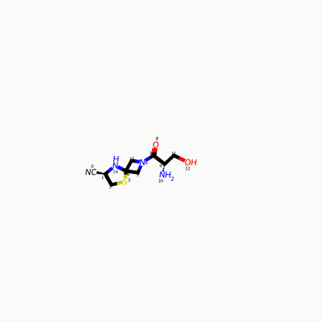 N#C[C@@H]1CSC2(CN(C(=O)[C@@H](N)CO)C2)N1